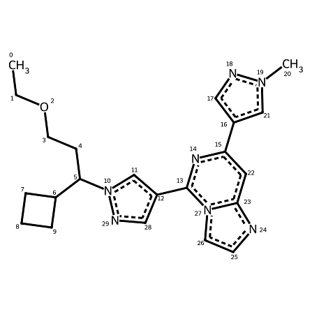 CCOCCC(C1CCC1)n1cc(-c2nc(-c3cnn(C)c3)cc3nccn23)cn1